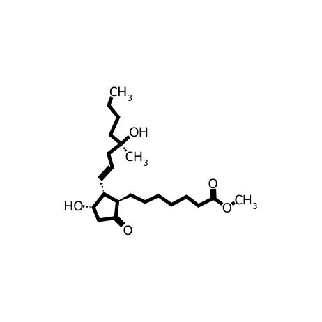 CCCC[C@@](C)(O)C/C=C/[C@H]1[C@@H](O)CC(=O)[C@@H]1CCCCCCC(=O)OC